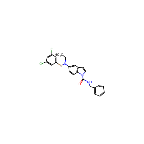 O=C(O)CN(Sc1cc(Cl)cc(Cl)c1)c1ccc2c(ccn2C(=O)NCc2ccccc2)c1